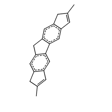 CC1=Cc2cc3c(cc2C1)Cc1cc2c(cc1-3)C=C(C)C2